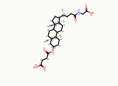 C[C@H](CCC(=O)NCC(=O)O)C1CC[C@H]2C3CC[C@@H]4C[C@H](OC(=O)CCC(=O)O)CC[C@]4(C)C3CC[C@]12C